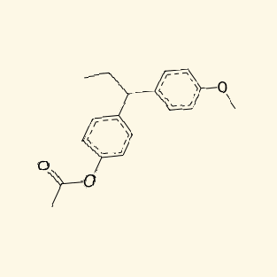 CCC(c1ccc(OC)cc1)c1ccc(OC(C)=O)cc1